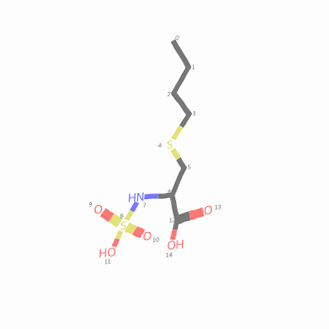 CCCCSCC(NS(=O)(=O)O)C(=O)O